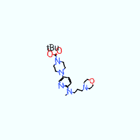 CN(CCCN1CCOCC1)c1ccc(N2CCN(C(=O)OC(C)(C)C)CC2)cn1